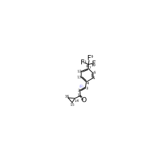 O=C(/C=C/c1ccc(C(F)(F)F)cc1)C1CC1